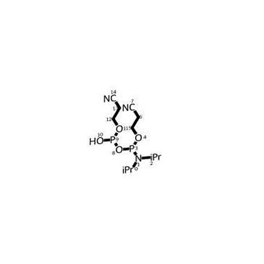 CC(C)N(C(C)C)P(OCCC#N)OP(O)OCCC#N